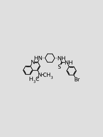 CN(C)c1cc(N[C@H]2CC[C@@H](NC(=S)Nc3ccc(Br)cc3)CC2)nc2ccccc12